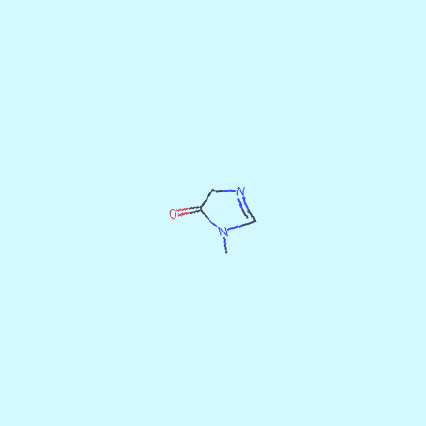 CN1C=NCC1=O